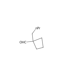 CCCCC1(C=O)CCC1